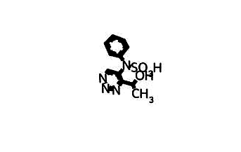 CC(O)c1nnncc1N(c1ccccc1)S(=O)(=O)O